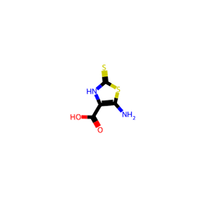 Nc1sc(=S)[nH]c1C(=O)O